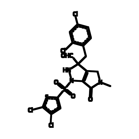 CN1CC2=C(C1=O)N(S(=O)(=O)c1cc(Cl)c(Cl)s1)NC2(C=O)Cc1ccc(Cl)cc1Cl